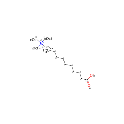 CCCCCCCCCC(=O)[O-].CCCCCCCC[N+](CCCCCCCC)(CCCCCCCC)CCCCCCCC